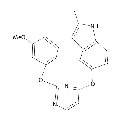 COc1cccc(Oc2nccc(Oc3ccc4[nH]c(C)cc4c3)n2)c1